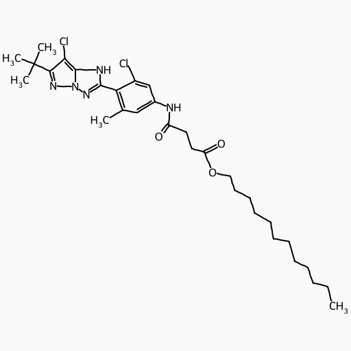 CCCCCCCCCCCCOC(=O)CCC(=O)Nc1cc(C)c(-c2nn3nc(C(C)(C)C)c(Cl)c3[nH]2)c(Cl)c1